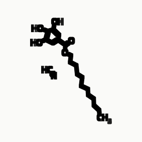 C#N.CCCCCCCCCCCCOC(=O)c1cc(O)c(O)c(O)c1